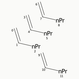 C=CCCC.C=CCCC.C=CCCC.C=CCCC